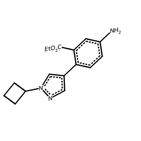 CCOC(=O)c1cc(N)ccc1-c1cnn(C2CCC2)c1